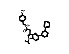 COc1ccc(CNC(=O)Cc2cn(C(C)C)c3ccc(-c4cccc(-c5ccccc5)c4)cc23)cc1